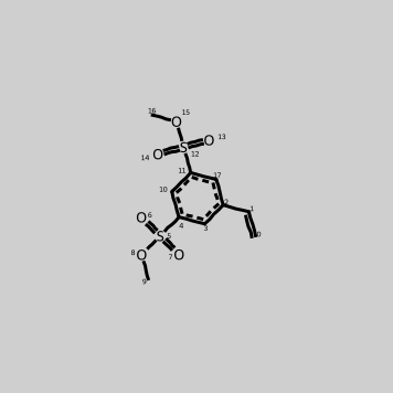 C=Cc1cc(S(=O)(=O)OC)cc(S(=O)(=O)OC)c1